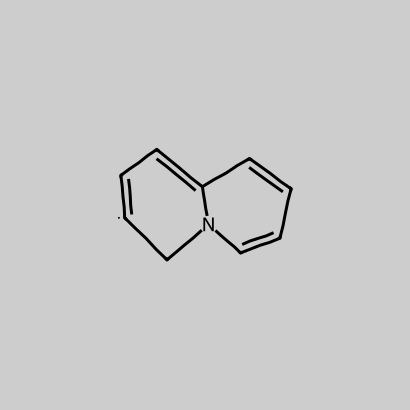 [C]1=CC=C2C=CC=CN2C1